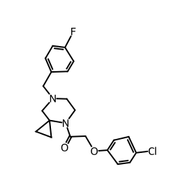 O=C(COc1ccc(Cl)cc1)N1CCN(Cc2ccc(F)cc2)CC12CC2